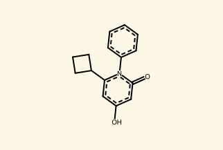 O=c1cc(O)cc(C2CCC2)n1-c1ccccc1